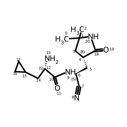 CC1(C)C[C@@H](C[C@@H](C#N)NC(=O)[C@@H](N)CC2CC2)C(=O)N1